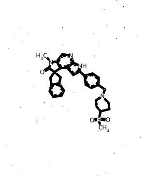 CN1C(=O)C2(Cc3ccccc3C2)c2c1cnc1[nH]c(-c3ccc(CN4CCC(S(C)(=O)=O)CC4)cc3)cc21